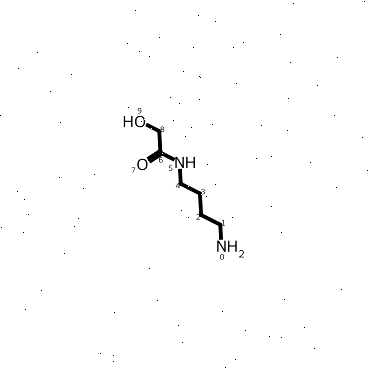 NCCCCNC(=O)CO